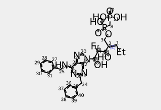 CC/C=C(/COP(=O)(O)CP(=O)(O)O)[C@@H](O)[C@H](F)[C@@H](O)n1cnc2c(NCc3ccccc3)nc(Cc3ccccc3)nc21